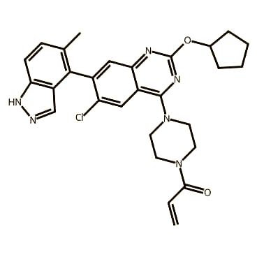 C=CC(=O)N1CCN(c2nc(OC3CCCC3)nc3cc(-c4c(C)ccc5[nH]ncc45)c(Cl)cc23)CC1